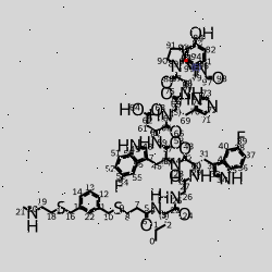 CCC[C@H](NC(=O)CCSCc1cccc(CSCCNC)c1)C(=O)NCC(=O)N[C@@H](Cc1c[nH]c2ccc(F)cc12)C(=O)N[C@@H](Cc1c[nH]c2ccc(F)cc12)C(=O)N[C@@H](CC(=O)O)C(=O)N[C@@H](Cc1cnc[nH]1)C(=O)N[C@@H](Cc1ccc(O)cc1)C(=O)N1CCC[C@@]1(C)/C=N/C=O